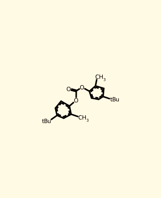 Cc1cc(C(C)(C)C)ccc1OC(=O)Oc1ccc(C(C)(C)C)cc1C